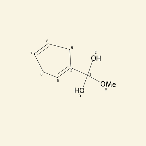 COC(O)(O)C1=CCC=CC1